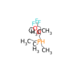 CC(=O)CC(=O)C(F)(F)F.CCCC[PH](CC)(CCCC)CCCC.c1ccccc1